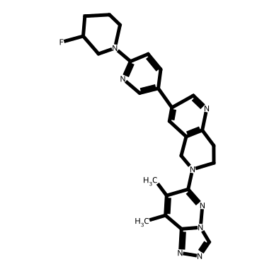 Cc1c(N2CCc3ncc(-c4ccc(N5CCCC(F)C5)nc4)cc3C2)nn2cnnc2c1C